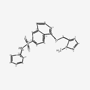 Cn1ncnc1COc1nccc2cc(S(=O)(=O)Nc3ccncn3)ccc12